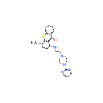 Cc1ccc(NCCN2CCN(c3ncccn3)CC2)c2c(=O)c3ccccc3sc12